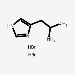 Br.Br.CC(N)Cc1c[nH]cn1